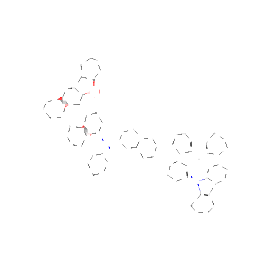 c1ccc(-c2ccc(-c3ccccc3N(c3ccc(-c4cccc5c4oc4ccccc45)cc3)c3ccc4cc(-c5ccc6c(c5)C5(c7ccccc7-6)c6ccccc6-n6c7ccccc7c7cccc5c76)ccc4c3)cc2)cc1